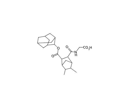 CC1C(C)C2CC1C(C(=O)NCC(=O)O)C2C(=O)OC1C2CC3CC(C2)CC1C3